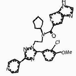 COc1ccc(-c2nc(-c3ccncc3)nn2CCN(C(=O)c2ccc3[nH]cnc3c2)C2CCCC2)cc1Cl